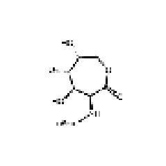 CCCCCN[C@@H]1C(=O)OC[C@@H](O)[C@@H](O)[C@@H]1O